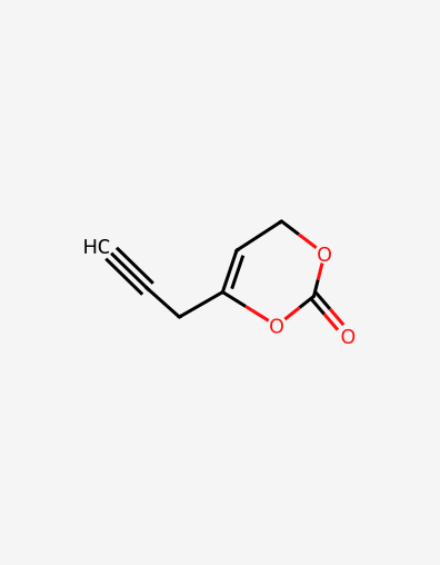 C#CCC1=CCOC(=O)O1